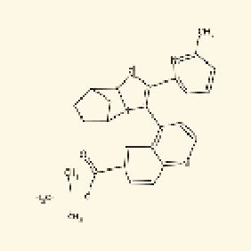 Cc1cccc(C2=C(c3ccnc4ccc(C(=O)OC(C)(C)C)cc34)N3C4CCC(C4)C3N2)n1